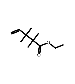 C=CC(C)(C)C(C)(C)C(=O)OCC